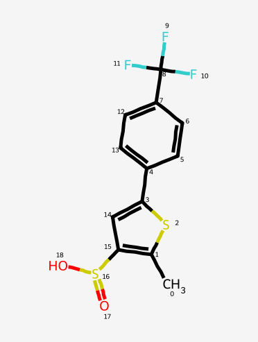 Cc1sc(-c2ccc(C(F)(F)F)cc2)cc1S(=O)O